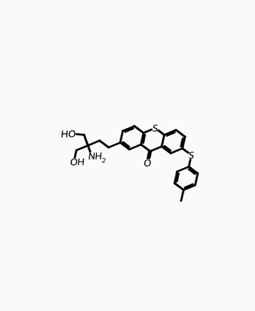 Cc1ccc(Sc2ccc3sc4ccc(CCC(N)(CO)CO)cc4c(=O)c3c2)cc1